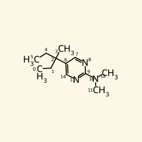 CCC(C)(CC)c1cnc(N(C)C)nc1